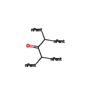 CCCCCC(CCCCC)C(=O)C(CCCCC)CCCCC